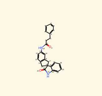 O=C(CCc1ccccc1)Nc1ccc2c(c1)CC1(C2)C(=O)Nc2ccccc21